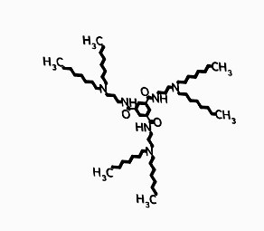 CCCCCCCCN(CCCCCCCC)CCCNC(=O)[C@H]1C[C@@H](C(=O)NCCCN(CCCCCCCC)CCCCCCCC)C[C@@H](C(=O)NCCCN(CCCCCCCC)CCCCCCCC)C1